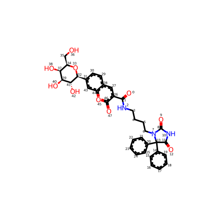 O=C(NCCCCN1C(=O)NC(=O)C1(c1ccccc1)c1ccccc1)c1cc2ccc([C@@H]3O[C@H](CO)[C@H](O)[C@H](O)[C@H]3O)cc2oc1=O